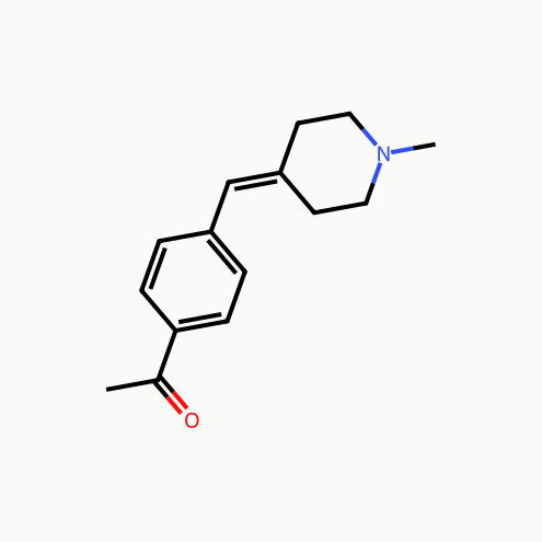 CC(=O)c1ccc(C=C2CCN(C)CC2)cc1